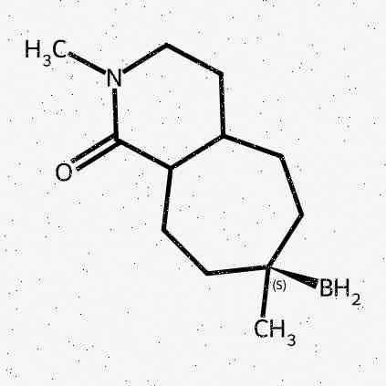 B[C@]1(C)CCC2CCN(C)C(=O)C2CC1